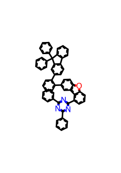 c1ccc(-c2nc(-c3ccccc3)nc(-c3cccc4oc5ccc(-c6ccccc6-c6ccc7c(c6)C(c6ccccc6)(c6ccccc6)c6ccccc6-7)cc5c34)n2)cc1